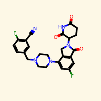 N#Cc1cc(CN2CCN(c3cc(F)cc4c3CN(C3CCC(=O)NC3=O)C4=O)CC2)ccc1F